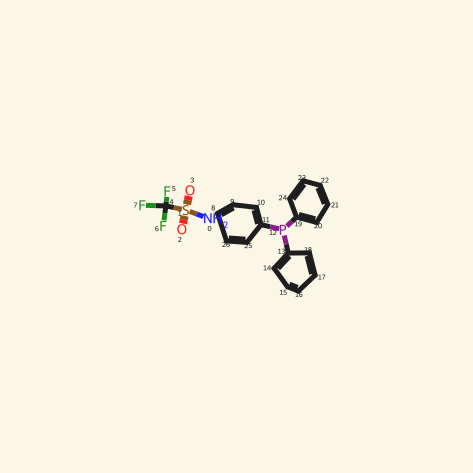 NS(=O)(=O)C(F)(F)F.c1ccc(P(c2ccccc2)c2ccccc2)cc1